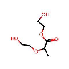 CC(OCCO)C(=O)OCCO